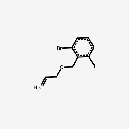 C=CCOCc1c(Br)cccc1I